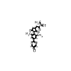 CCN(C)C(=O)CC1CC(=O)C(c2c(C)cc(-c3ncc(Cl)cn3)cc2C)C1=O